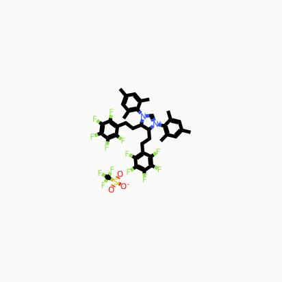 Cc1cc(C)c(N2C=[N+](c3c(C)cc(C)cc3C)C(CCc3c(F)c(F)c(F)c(F)c3F)C2CCc2c(F)c(F)c(F)c(F)c2F)c(C)c1.O=S(=O)([O-])C(F)(F)F